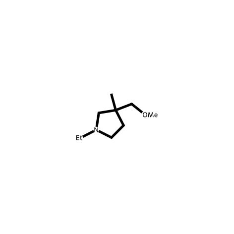 CCN1CCC(C)(COC)C1